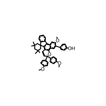 COc1ccc(C2(c3ccc(OC)cc3)C=Cc3c4c(c5cc(OC)c(-c6ccc(O)cc6)cc5c3O2)-c2ccccc2C42CC(C)(C)CC(C)(C)C2)cc1